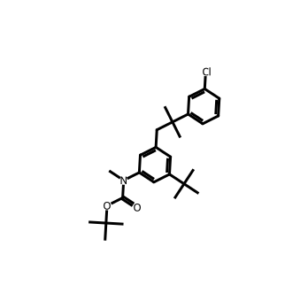 CN(C(=O)OC(C)(C)C)c1cc(CC(C)(C)c2cccc(Cl)c2)cc(C(C)(C)C)c1